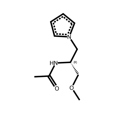 COC[C@@H](Cn1cccc1)NC(C)=O